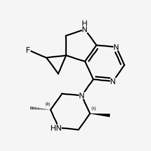 C[C@@H]1CN(c2ncnc3c2C2(CN3)CC2F)[C@@H](C)CN1